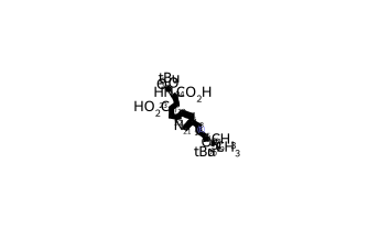 CC(C)(C)OC(=O)N[C@@H](C[C@H](Cc1ccc(/C=C/CO[Si](C)(C)C(C)(C)C)cn1)C(=O)O)C(=O)O